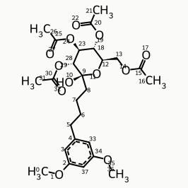 COc1cc(CCCC[C@@]2(O)O[C@H](COC(C)=O)[C@@H](OC(C)=O)[C@H](OC(C)=O)[C@H]2OC(C)=O)cc(OC)c1